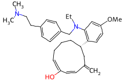 C=C1/C=C\C(O)=C/CCC[C@H](c2ccc(OC)cc2N(CC)Cc2ccc(CCN(C)C)cc2)C1